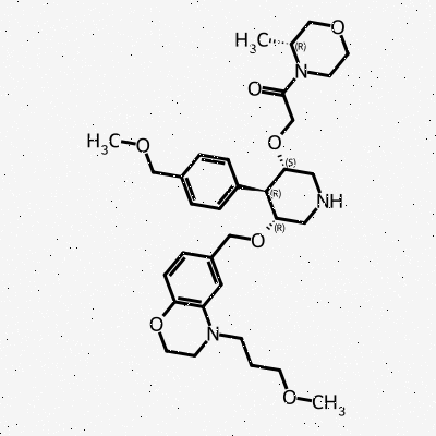 COCCCN1CCOc2ccc(CO[C@H]3CNC[C@@H](OCC(=O)N4CCOC[C@H]4C)[C@@H]3c3ccc(COC)cc3)cc21